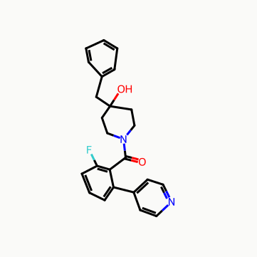 O=C(c1c(F)cccc1-c1ccncc1)N1CCC(O)(Cc2ccccc2)CC1